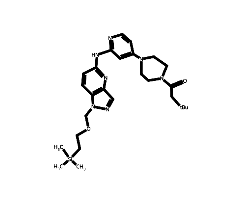 CC(C)(C)CC(=O)N1CCN(c2ccnc(Nc3ccc4c(cnn4COCC[Si](C)(C)C)n3)c2)CC1